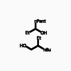 CCCCC(CC)CO.CCCCCC(O)CC